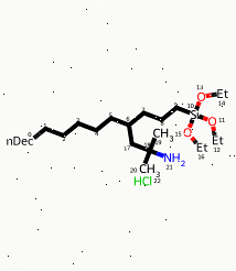 CCCCCCCCCCCCCCCC(CCC[Si](OCC)(OCC)OCC)CC(C)(C)N.Cl